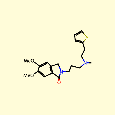 COc1cc2c(cc1OC)C(=O)N(CCCN(C)CCc1cccs1)C2